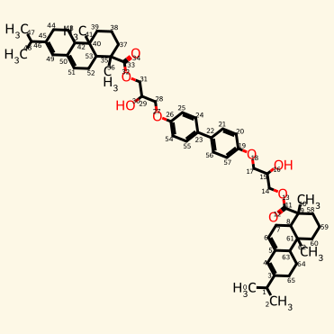 CC(C)C1=CC2=CCC3C(C)(C(=O)OCC(O)COc4ccc(-c5ccc(OCC(O)COC(=O)C6(C)CCCC7(C)C8CCC(C(C)C)=CC8=CCC67)cc5)cc4)CCCC3(C)C2CC1